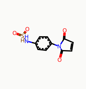 O=C1C=CC(=O)N1c1ccc(N[SH](=O)=O)cc1